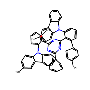 CC(C)(C)c1ccc2c(c1)c1ccccc1n2-c1cccc(C#N)c1-c1nc(-c2ccccc2)nc(-c2c(-c3ccc(C#N)cc3)cccc2-n2c3ccccc3c3cc(C(C)(C)C)ccc32)n1